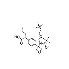 CCCC(C(=O)O)c1ccc(C2(N(COCC[Si](C)(C)C)[S+]([O-])C(C)(C)C)COC2)cc1